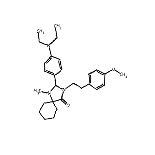 CCN(CC)c1ccc(C2N(CCc3ccc(OC)cc3)C(=O)C3(CCCCC3)N2C)cc1